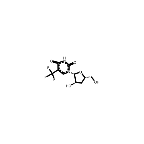 O=c1[nH]c(=O)n([C@@H]2O[C@H](CO)C[C@H]2O)cc1C(F)(F)F